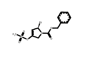 CC[C@@H]1C=C(OS(=O)(=O)C(F)(F)F)CN1C(=O)OCc1ccccc1